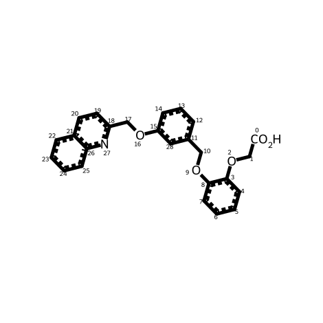 O=C(O)COc1ccccc1OCc1cccc(OCc2ccc3ccccc3n2)c1